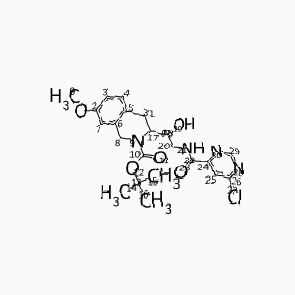 COc1ccc2c(c1)CN(C(=O)OC(C)(C)C)C([C@H](O)CNC(=O)c1cc(Cl)ncn1)C2